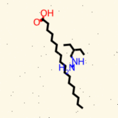 CCC(CC)CNN.CCCCCCCCCCCCCCCCCC(=O)O